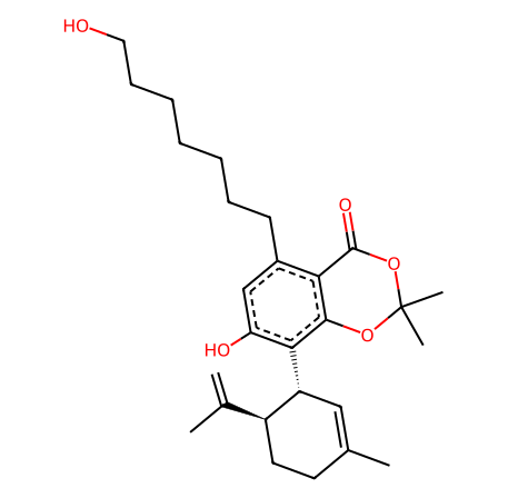 C=C(C)[C@@H]1CCC(C)=C[C@H]1c1c(O)cc(CCCCCCCO)c2c1OC(C)(C)OC2=O